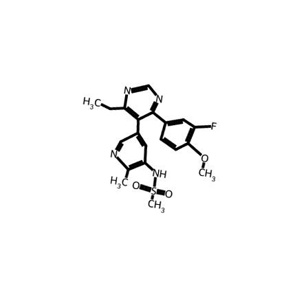 CCc1ncnc(-c2ccc(OC)c(F)c2)c1-c1cnc(C)c(NS(C)(=O)=O)c1